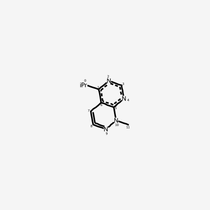 CC(C)c1ncnc2c1C=C=NN2C